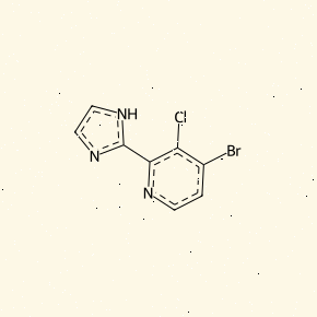 Clc1c(Br)ccnc1-c1ncc[nH]1